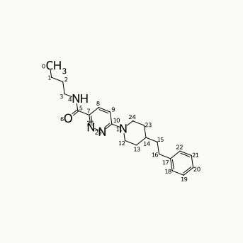 CCCCNC(=O)c1ccc(N2CCC(CCc3ccccc3)CC2)nn1